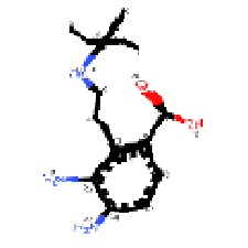 CC(C)(C)NCCc1c(C(=O)O)ccc(N)c1N